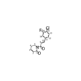 O=C1C=CCCN1C(=O)C=Cc1ccc(Cl)c(F)c1